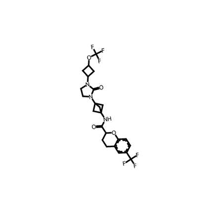 O=C(NC12CC(N3CCN(C4CC(OC(F)(F)F)C4)C3=O)(C1)C2)C1CCc2cc(C(F)(F)F)ccc2O1